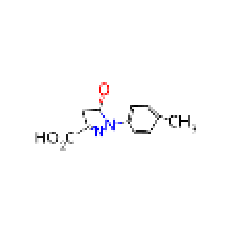 Cc1ccc(N2N=C(C(=O)O)CC2=O)cc1